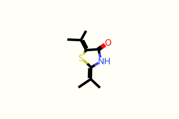 CC(C)=c1[nH]c(=O)c(=C(C)C)s1